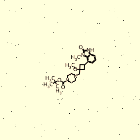 COC1(CN2CCN(C(=O)OC(C)(C)C)CC2)CC(c2cccc3[nH]c(=O)n(C)c23)C1